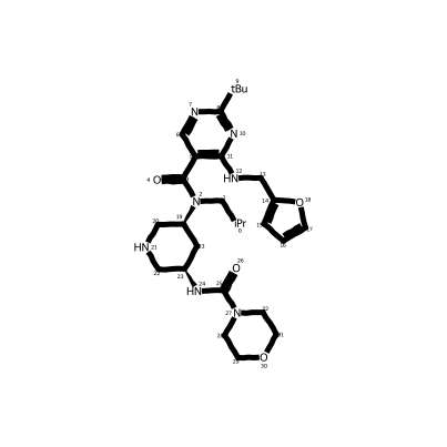 CC(C)CN(C(=O)c1cnc(C(C)(C)C)nc1NCc1ccco1)[C@@H]1CNC[C@H](NC(=O)N2CCOCC2)C1